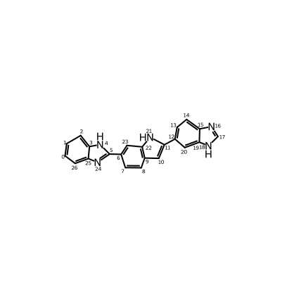 c1ccc2[nH]c(-c3ccc4cc(-c5ccc6nc[nH]c6c5)[nH]c4c3)nc2c1